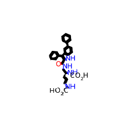 O=C(O)NCCC[C@@H](CNC(=O)c1[nH]c2ccc(-c3ccccc3)cc2c1-c1ccccc1)NC(=O)O